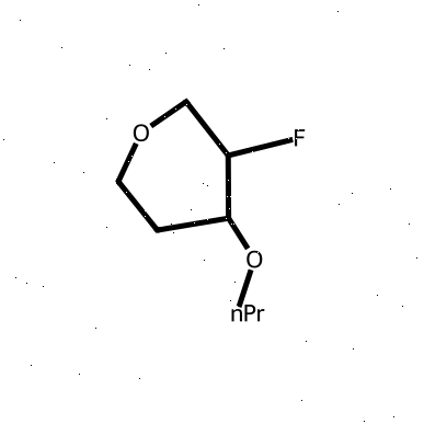 CCCOC1CCOCC1F